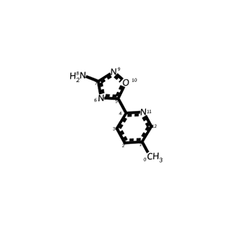 Cc1ccc(-c2nc(N)no2)nc1